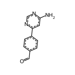 Nc1cc(-c2ccc(C=O)cc2)ncn1